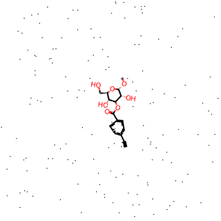 C#Cc1ccc(C(=O)O[C@@H]2[C@@H](O)[C@@H](OC)O[C@H](CO)[C@H]2O)cc1